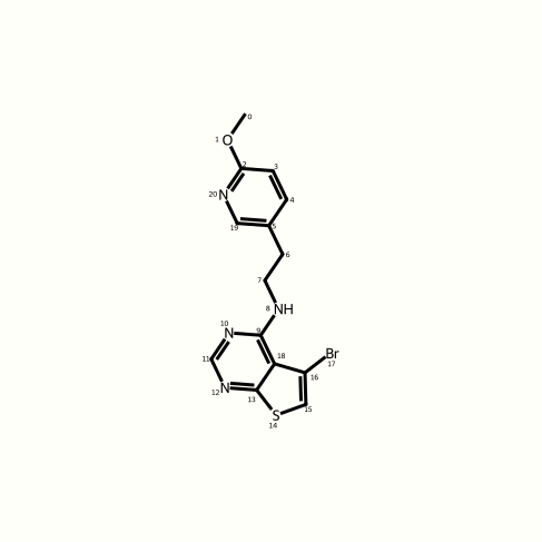 COc1ccc(CCNc2ncnc3scc(Br)c23)cn1